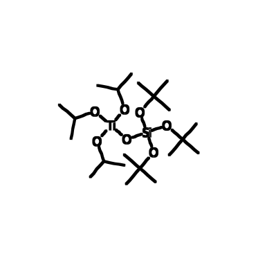 CC(C)[O][Ti]([O]C(C)C)([O]C(C)C)[O][Si](OC(C)(C)C)(OC(C)(C)C)OC(C)(C)C